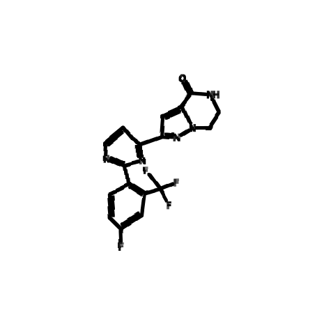 O=C1NCCn2nc(-c3ccnc(-c4ccc(F)cc4C(F)(F)F)n3)cc21